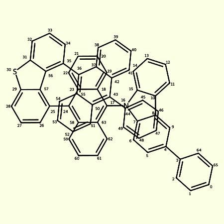 c1ccc(-c2ccc3c(c2)c2ccccc2n3-c2c3ccccc3c(-c3cccc4sc5cccc(-c6c7ccccc7c(-c7ccccc7)c7ccccc67)c5c34)c3ccccc23)cc1